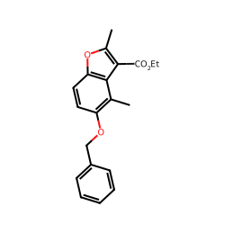 CCOC(=O)c1c(C)oc2ccc(OCc3ccccc3)c(C)c12